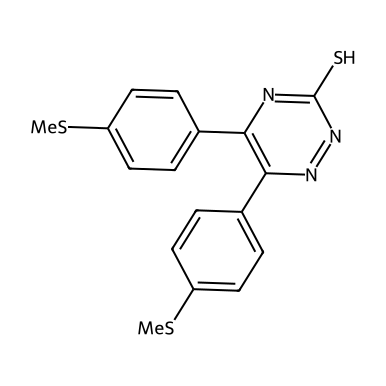 CSc1ccc(-c2nnc(S)nc2-c2ccc(SC)cc2)cc1